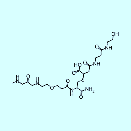 CNCC(=O)CNCCOCCC(=O)NC(CSC(CC(=O)NCCC(=O)NCCO)C(=O)O)C(N)=O